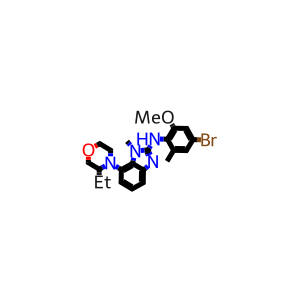 CCC1COCCN1c1cccc2nc(Nc3c(C)cc(Br)cc3OC)n(C)c12